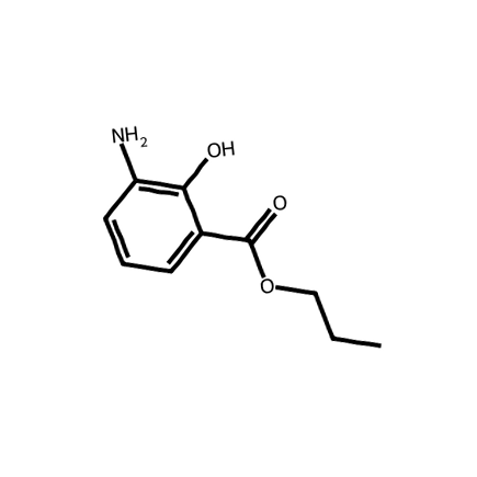 CCCOC(=O)c1cccc(N)c1O